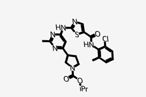 Cc1nc(Nc2ncc(C(=O)Nc3c(C)cccc3Cl)s2)cc(C2CCN(C(=O)OC(C)C)C2)n1